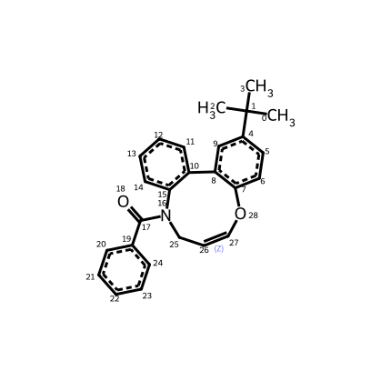 CC(C)(C)c1ccc2c(c1)-c1ccccc1N(C(=O)c1ccccc1)C/C=C\O2